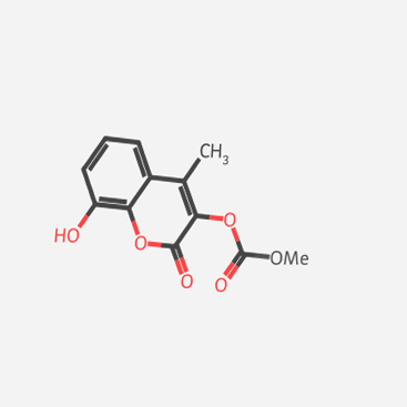 COC(=O)Oc1c(C)c2cccc(O)c2oc1=O